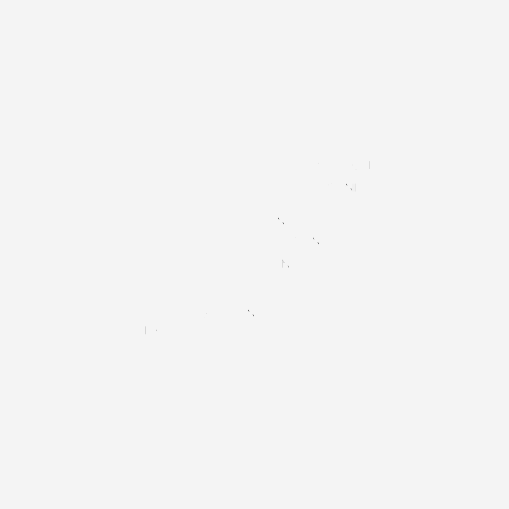 O=C(NO)c1cnc(N2CC3CN(Cc4ccc(O)cc4)CC3C2)nc1